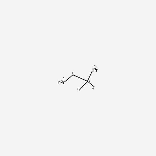 [CH2]CCCC(C)(C)C([CH2])C